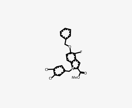 COC(=O)c1cc2c(F)c(OCc3ccccc3)ccc2n1Cc1ccc(Cl)c(Cl)c1